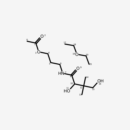 CC(=O)OCCCNC(=O)C(O)C(C)(C)CO.CCOCC